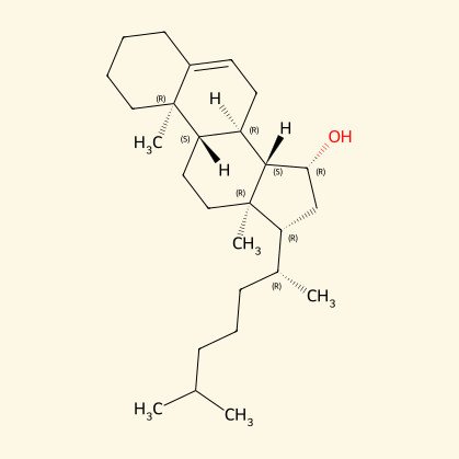 CC(C)CCC[C@@H](C)[C@H]1C[C@@H](O)[C@H]2[C@@H]3CC=C4CCCC[C@]4(C)[C@H]3CC[C@@]21C